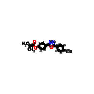 C=C(C)C(=O)Oc1ccc(-c2nnc(-c3ccc(C(C)(C)C)cc3)o2)cc1